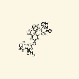 CN(CCOc1ccc2c(ccc3occ([C@@H]4CCC(=O)NC4=O)c32)c1)C1CCOCC1